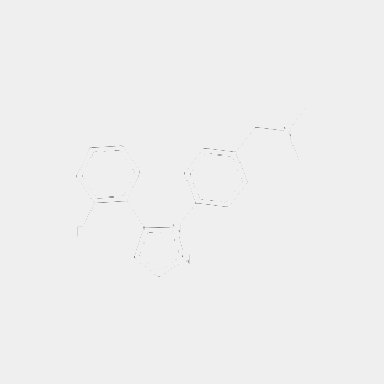 CN(C)Cc1ccc(-n2nccc2-c2ccccc2F)cc1